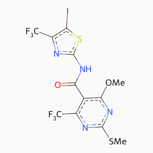 COc1nc(SC)nc(C(F)(F)F)c1C(=O)Nc1nc(C(F)(F)F)c(I)s1